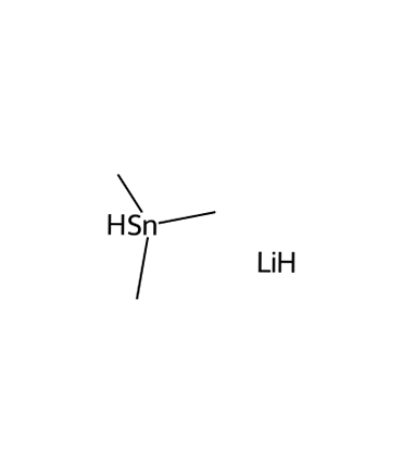 [CH3][SnH]([CH3])[CH3].[LiH]